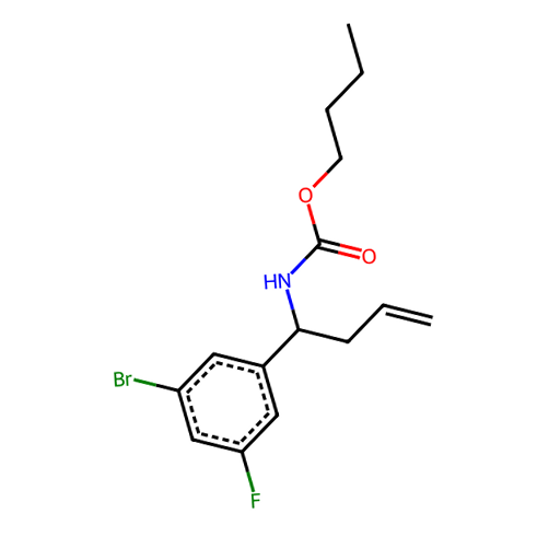 C=CCC(NC(=O)OCCCC)c1cc(F)cc(Br)c1